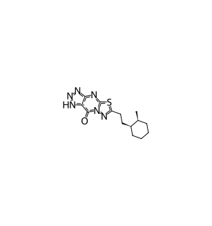 C[C@H]1CCCC[C@H]1CCc1nn2c(=O)c3[nH]nnc3nc2s1